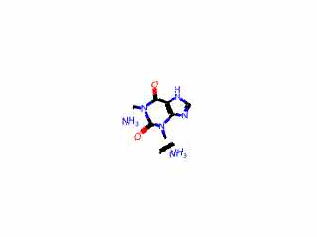 C=C.Cn1c(=O)c2[nH]cnc2n(C)c1=O.N.N